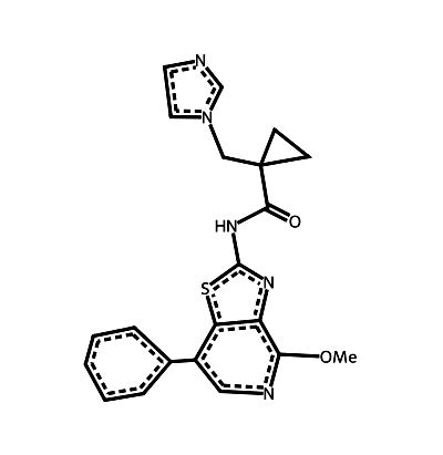 COc1ncc(-c2ccccc2)c2sc(NC(=O)C3(Cn4ccnc4)CC3)nc12